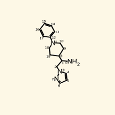 NC(Cn1cccn1)C1CCN(c2ccccc2)CC1